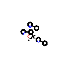 C[SiH](C)Oc1c(-c2ccccn2)cccc1C(C)(C)C.c1ccc(-c2ccccn2)cc1.c1ccc(-c2ccccn2)cc1